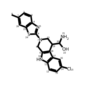 Cc1ccc2nc(N3Cc4[nH]c5ccc(Cl)cc5c4C(C(N)O)C3)sc2c1